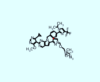 COc1ncnc(C2CC2)c1-c1ncc2cc(-c3ccn(COCC[Si](C)(C)C)n3)n(Cc3ccc(-c4nc(C(F)(F)F)cn4C(C)C)cc3)c2n1